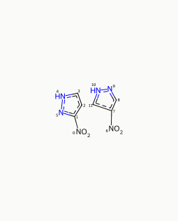 O=[N+]([O-])c1cc[nH]n1.O=[N+]([O-])c1cn[nH]c1